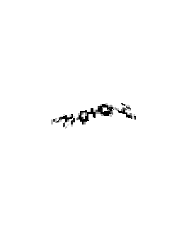 CC(C)(c1ccc(OCC(O)CO)cc1)c1ccc(OCC(O)CBr)cc1